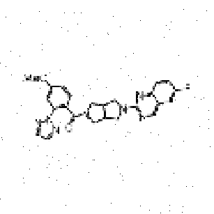 COc1ccc(C(=O)N2CC3CN(c4ncc5cc(F)ccc5n4)CC3C2)c(-n2nccn2)c1